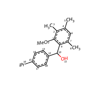 COc1c(C)c(C)cc(C)c1C(O)c1ccc(C(C)C)cc1